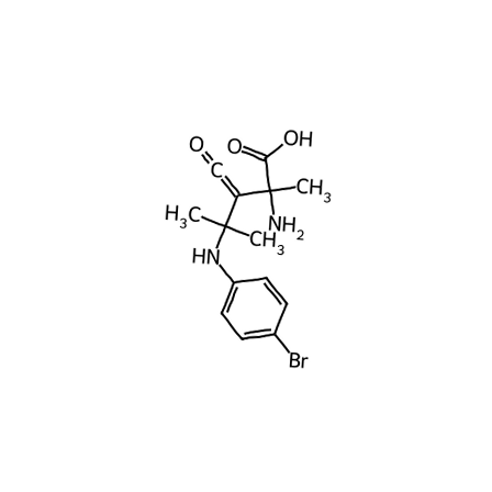 CC(C)(Nc1ccc(Br)cc1)C(=C=O)C(C)(N)C(=O)O